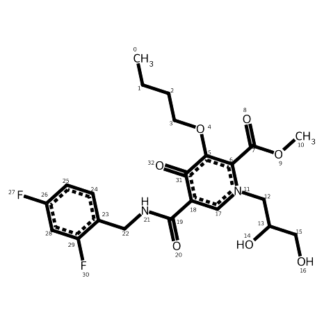 CCCCOc1c(C(=O)OC)n(CC(O)CO)cc(C(=O)NCc2ccc(F)cc2F)c1=O